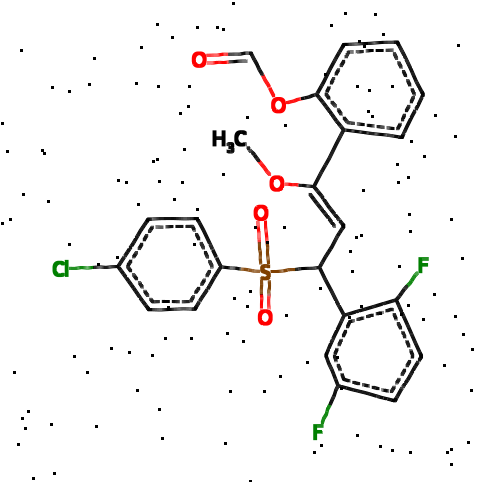 CO/C(=C\C(c1cc(F)ccc1F)S(=O)(=O)c1ccc(Cl)cc1)c1ccccc1OC=O